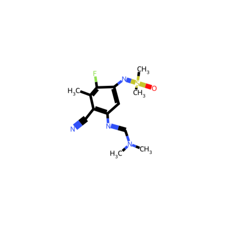 Cc1c(F)c(N=S(C)(C)=O)cc(N=CN(C)C)c1C#N